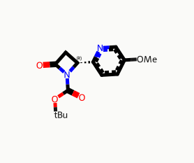 COc1ccc([C@H]2CC(=O)N2C(=O)OC(C)(C)C)nc1